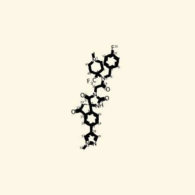 CN1CCC(N(Cc2ccc(F)cc2)C(=O)CN2C(=O)N[C@]3(CC(=O)c4cc(-c5cnn(C)c5)ccc43)C2=O)(C(F)(F)F)CC1